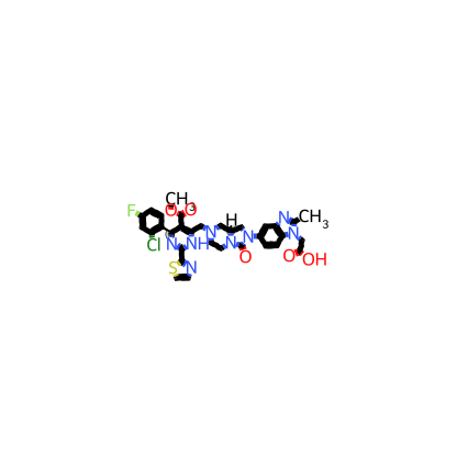 COC(=O)C1=C(CN2CCN3C(=O)N(c4ccc5c(c4)nc(C)n5CC(=O)O)C[C@@H]3C2)NC(c2nccs2)=N[C@H]1c1ccc(F)cc1Cl